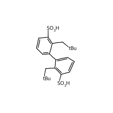 CC(C)(C)Cc1c(-c2cccc(S(=O)(=O)O)c2CC(C)(C)C)cccc1S(=O)(=O)O